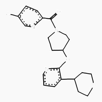 O=C(c1ccc(Cl)cn1)N1CCC(Oc2ncccc2C2CCOCC2)CC1